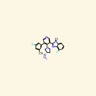 CCn1c(-c2cncc(-c3cc(F)cc(C#N)c3)c2N2CC[C@H](N)C2)nc2c(F)cccc21